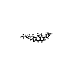 CS(C)(C)CCOCn1nc(Cc2ccc(N3CC4CC4C3)nc2CO)cc1C(=O)O